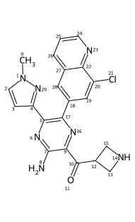 Cn1ccc(-c2nc(N)c(C(=O)C3CNC3)nc2-c2cc(Cl)c3ncccc3c2)n1